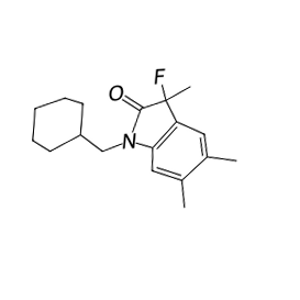 Cc1cc2c(cc1C)C(C)(F)C(=O)N2CC1CCCCC1